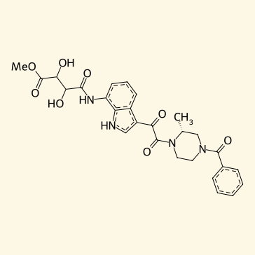 COC(=O)C(O)C(O)C(=O)Nc1cccc2c(C(=O)C(=O)N3CCN(C(=O)c4ccccc4)C[C@H]3C)c[nH]c12